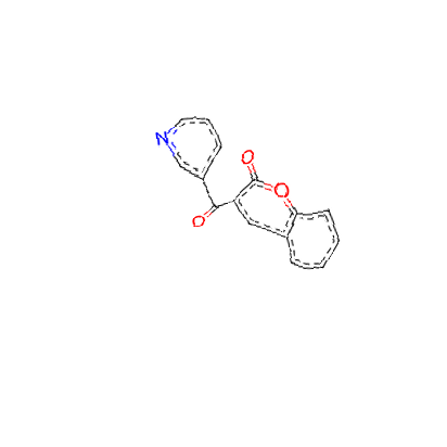 O=C(c1cccnc1)c1cc2ccccc2oc1=O